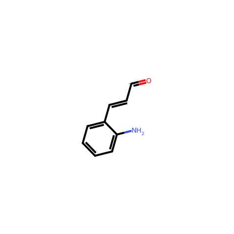 Nc1ccccc1C=C[C]=O